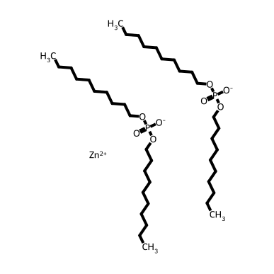 CCCCCCCCCCOP(=O)([O-])OCCCCCCCCCC.CCCCCCCCCCOP(=O)([O-])OCCCCCCCCCC.[Zn+2]